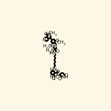 COc1cc(-c2cn(C)c(=O)c3cnccc23)cc(OC)c1CN1CC(N)(C(=O)NCCCCCCCCNc2cccc(C=O)c2C(=O)N(C)C2CCC(=O)NC2=O)C1